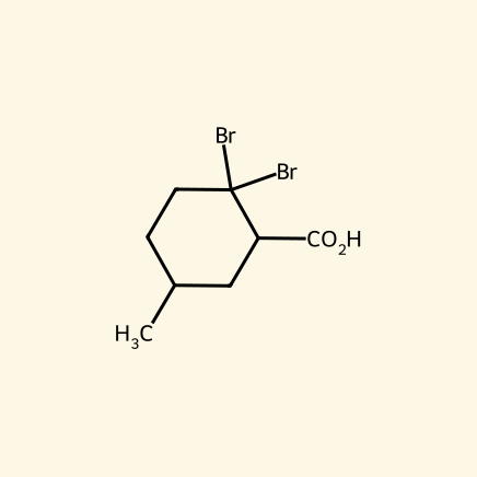 CC1CCC(Br)(Br)C(C(=O)O)C1